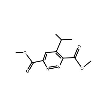 COC(=O)c1cc(C(C)C)c(C(=O)OC)nn1